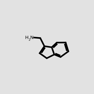 NCC1=CCc2ccccc21